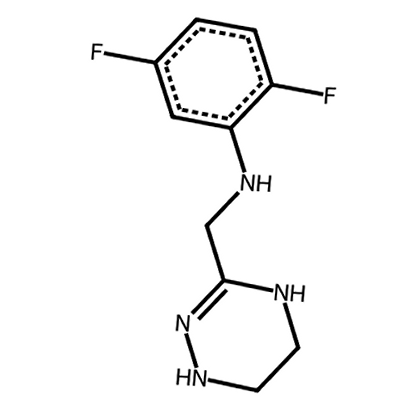 Fc1ccc(F)c(NCC2=NNCCN2)c1